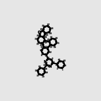 c1ccc(-c2cc(-c3ccc4c(c3)c3ccccc3c3c4ccc4oc5ccccc5c43)nc(-c3ccccc3)n2)cc1